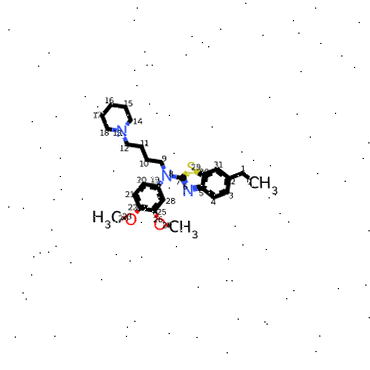 CCc1ccc2nc(N(CCCCN3CCCCC3)c3ccc(OC)c(OC)c3)sc2c1